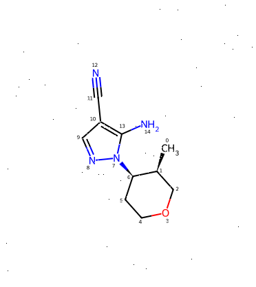 C[C@H]1COCC[C@H]1n1ncc(C#N)c1N